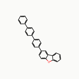 c1ccc(-c2ccc(-c3ccc(-c4ccc5oc6ccccc6c5c4)cc3)cc2)cc1